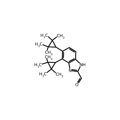 CC1(C)C(c2ccc3[nH]c(C=O)nc3c2C2C(C)(C)C2(C)C)C1(C)C